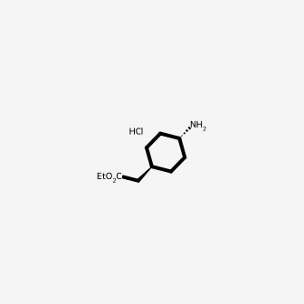 CCOC(=O)C[C@H]1CC[C@H](N)CC1.Cl